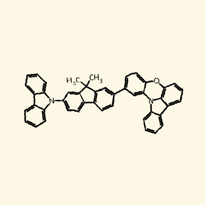 CC1(C)c2cc(-c3ccc4c(c3)-n3c5ccccc5c5cccc(c53)O4)ccc2-c2ccc(-n3c4ccccc4c4ccccc43)cc21